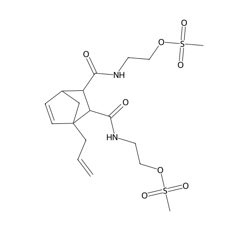 C=CCC12C=CC(C1)C(C(=O)NCCOS(C)(=O)=O)C2C(=O)NCCOS(C)(=O)=O